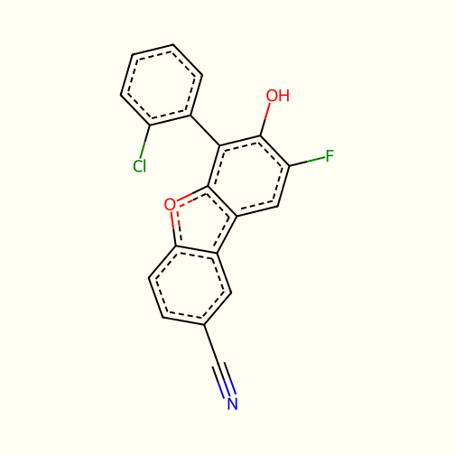 N#Cc1ccc2oc3c(-c4ccccc4Cl)c(O)c(F)cc3c2c1